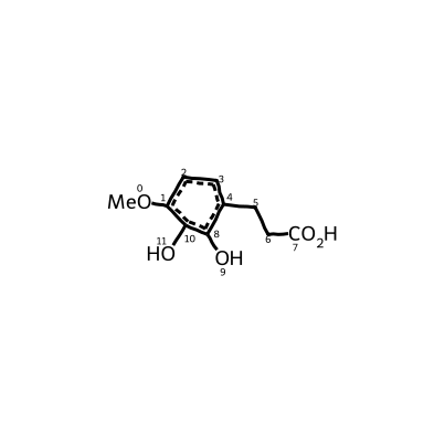 COc1ccc(CCC(=O)O)c(O)c1O